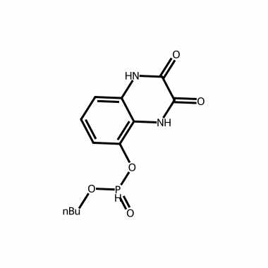 CCCCO[PH](=O)Oc1cccc2[nH]c(=O)c(=O)[nH]c12